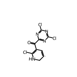 O=C(C1=C(Cl)NC[C]=C1)c1nc(Cl)nc(Cl)n1